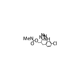 CNC(=O)OCC(Cc1ccc(Cl)cc1)c1nnn[nH]1